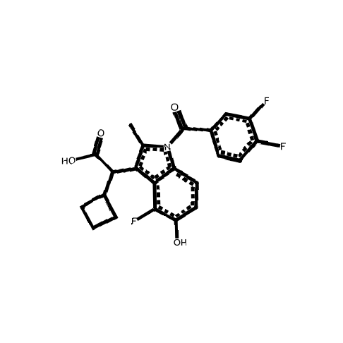 Cc1c(C(C(=O)O)C2CCC2)c2c(F)c(O)ccc2n1C(=O)c1ccc(F)c(F)c1